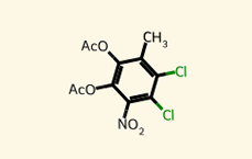 CC(=O)Oc1c(C)c(Cl)c(Cl)c([N+](=O)[O-])c1OC(C)=O